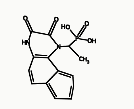 CC(n1c(=O)c(=O)[nH]c2ccc3ccccc3c21)P(=O)(O)O